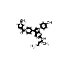 CCC[C@H](C)Nc1ncc2c(C3CCN(C(=O)C4CCN(C)C4)CC3)cn([C@H]3CC[C@H](O)CC3)c2n1